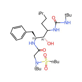 CCCCS(=O)(=O)N(CC(=O)N[C@@H](Cc1ccccc1)[C@@H](O)C(CCC(C)C)NC(=O)NC(C)(C)C)C(C)(C)C